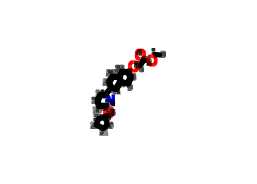 CCOC(=O)COc1ccc2cc(-c3cccc(OC4CCCC4)n3)ccc2c1